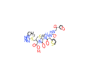 Cn1nnnc1SCC1=C(C(=O)O)N2C(=O)C(NC(=O)C(NC(=O)NCC(=O)c3ccoc3)c3cccs3)[C@@H]2SC1